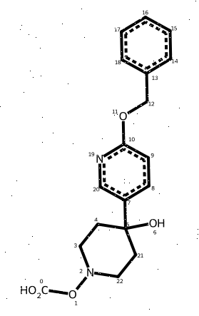 O=C(O)ON1CCC(O)(c2ccc(OCc3ccccc3)nc2)CC1